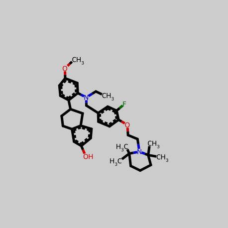 CCN(Cc1ccc(OCCN2C(C)(C)CCCC2(C)C)c(F)c1)c1cc(OC)ccc1C1CCc2cc(O)ccc2C1